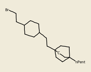 CCCCCC12CCC(CCC3CCC(CCBr)CC3)(CC1)CC2